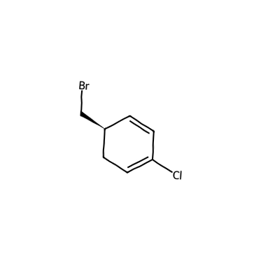 ClC1=CC[C@@H](CBr)C=C1